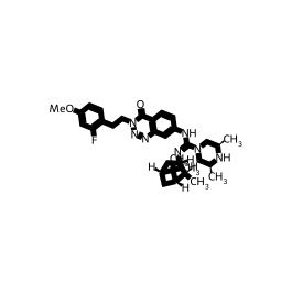 COc1ccc(CCn2nnc3cc(NC(=N[C@H]4C[C@H]5C[C@@H]([C@@H]4C)C5(C)C)N4C[C@@H](C)N[C@@H](C)C4)ccc3c2=O)c(F)c1